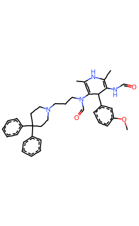 COc1cccc(C2C(NC=O)=C(C)NC(C)=C2N(C=O)CCCN2CCC(c3ccccc3)(c3ccccc3)CC2)c1